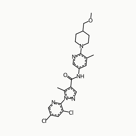 COCC1CCN(c2ncc(NC(=O)c3cnn(-c4ncc(Cl)cc4Cl)c3C)cc2C)CC1